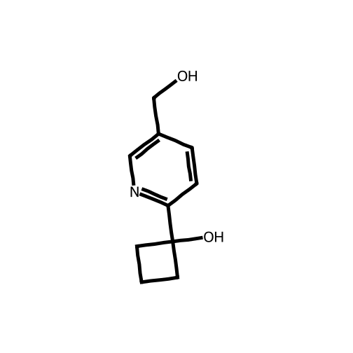 OCc1ccc(C2(O)CCC2)nc1